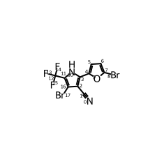 N#Cc1c(-c2ccc(Br)o2)[nH]c(C(F)(F)F)c1Br